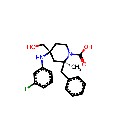 C[C@]1(Cc2ccccc2)C[C@](CO)(Nc2cccc(F)c2)CCN1C(=O)O